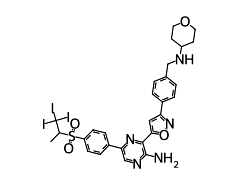 CC(C(I)(I)I)S(=O)(=O)c1ccc(-c2cnc(N)c(-c3cc(-c4ccc(CNC5CCOCC5)cc4)no3)n2)cc1